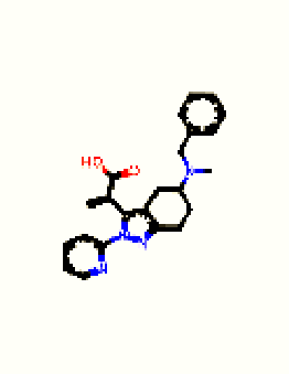 C=C(C(=O)O)c1c2c(nn1-c1ccccn1)CCC(N(C)Cc1ccccc1)C2